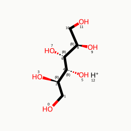 OC[C@@H](O)[C@@H](O)[C@H](O)[C@H](O)CO.[H+]